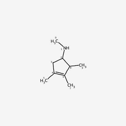 CNC1CC(C)=C(C)C1C